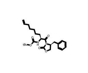 C=CCCCCC[C@H](NC(=O)OC(C)(C)C)C(=O)N1C(=O)OC[C@@H]1Cc1ccccc1